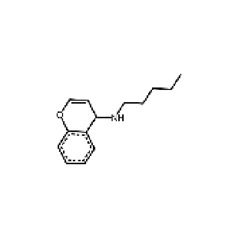 CCCCCNC1C=COc2ccccc21